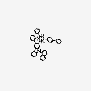 c1ccc(-c2ccc(-c3nc(-c4ccccc4)nc(-c4cc5c(cc4-c4ccccc4)c4ccccc4n5-c4cccc5ccccc45)n3)cc2)cc1